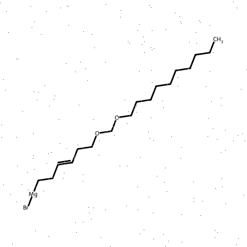 CCCCCCCCCCOCOCC/C=C/C[CH2][Mg][Br]